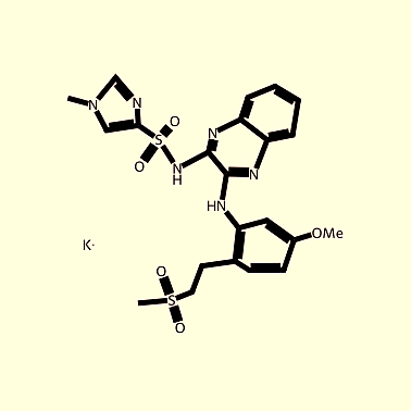 COc1ccc(CCS(C)(=O)=O)c(Nc2nc3ccccc3nc2NS(=O)(=O)c2cn(C)cn2)c1.[K]